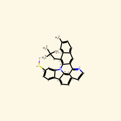 Cc1ccc2cc3c4nccc5ccc6c7ccc(SI)cc7n(c3c(CC(C)(C)C)c2c1)c6c54